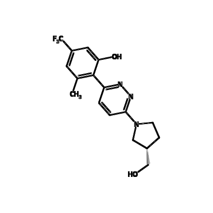 Cc1cc(C(F)(F)F)cc(O)c1-c1ccc(N2CC[C@H](CO)C2)nn1